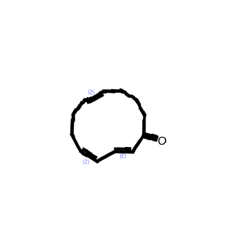 O=C1/C=C/C=C\CC/C=C\CCC1